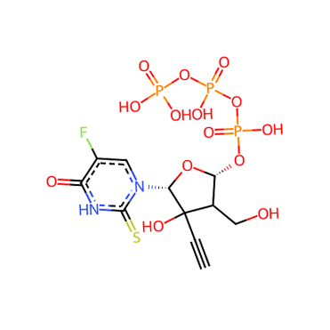 C#CC1(O)C(CO)[C@@H](OP(=O)(O)OP(=O)(O)OP(=O)(O)O)O[C@H]1n1cc(F)c(=O)[nH]c1=S